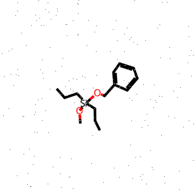 CCC[Si](CCC)(OC)OCc1ccccc1